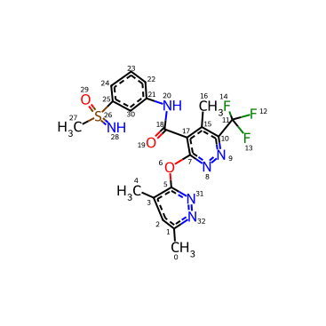 Cc1cc(C)c(Oc2nnc(C(F)(F)F)c(C)c2C(=O)Nc2cccc(S(C)(=N)=O)c2)nn1